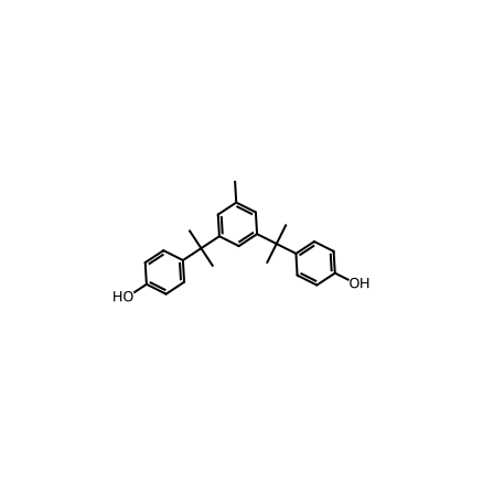 Cc1cc(C(C)(C)c2ccc(O)cc2)cc(C(C)(C)c2ccc(O)cc2)c1